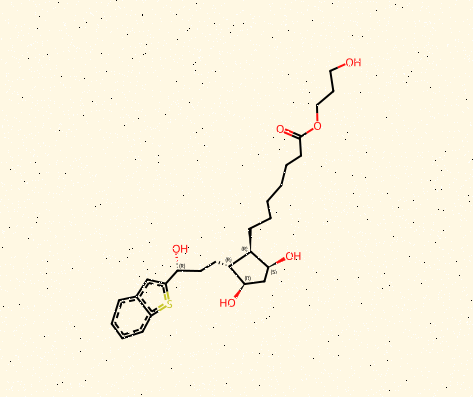 O=C(CCCCCC[C@@H]1[C@@H](CC[C@@H](O)c2cc3ccccc3s2)[C@H](O)C[C@@H]1O)OCCCO